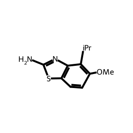 COc1ccc2sc(N)nc2c1C(C)C